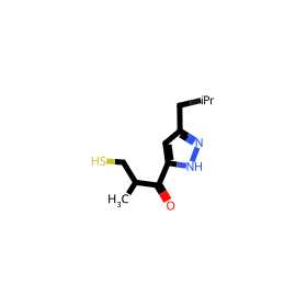 CC(C)Cc1cc(C(=O)C(C)CS)[nH]n1